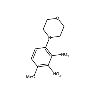 COc1ccc(N2CCOCC2)c([N+](=O)[O-])c1[N+](=O)[O-]